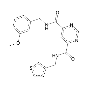 COc1cccc(CNC(=O)c2cc(C(=O)NCc3ccsc3)ncn2)c1